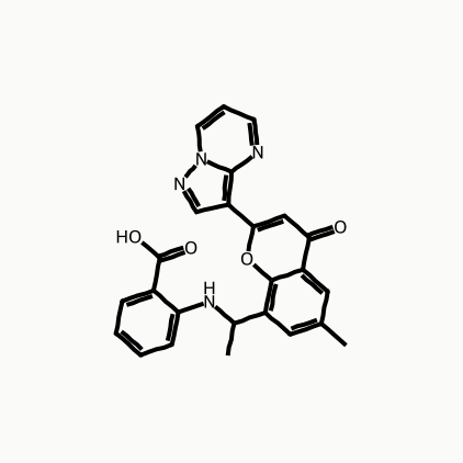 Cc1cc(C(C)Nc2ccccc2C(=O)O)c2oc(-c3cnn4cccnc34)cc(=O)c2c1